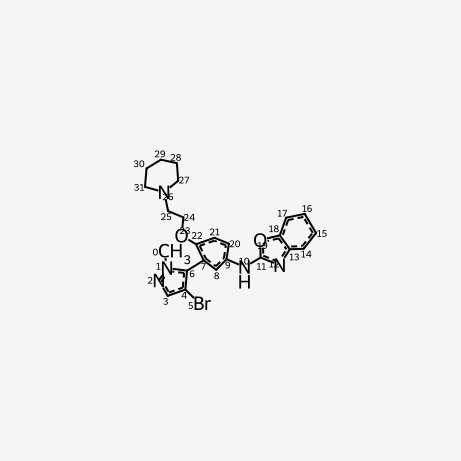 Cn1ncc(Br)c1-c1cc(Nc2nc3ccccc3o2)ccc1OCCN1CCCCC1